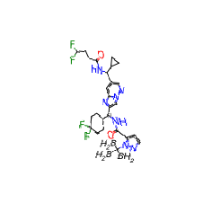 BC(B)(B)n1nccc1C(=O)N[C@H](c1cn2ncc(C(NC(=O)CCC(F)F)C3CC3)cc2n1)C1CCC(F)(F)CC1